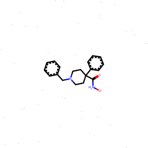 O=C([NH2+][O-])C1(c2ccccc2)CCN(Cc2ccccc2)CC1